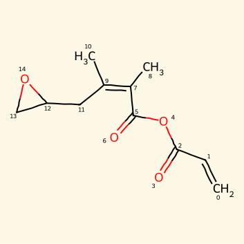 C=CC(=O)OC(=O)C(C)=C(C)CC1CO1